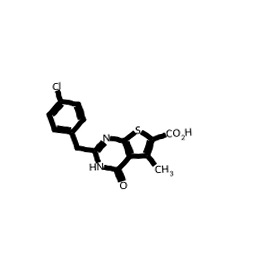 Cc1c(C(=O)O)sc2nc(Cc3ccc(Cl)cc3)[nH]c(=O)c12